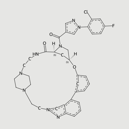 O=C1NCCN2CCN(CC2)CCn2cc3c(cccc3n2)-c2cccc(c2)O[C@H]2C[C@@H]1N(C(=O)c1cnn(-c3ccc(F)cc3Cl)c1)C2